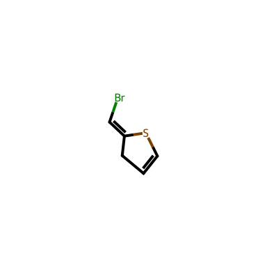 BrC=C1CC=CS1